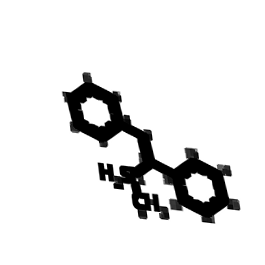 C[SiH2]C(=Cc1ccccc1)c1ccccc1